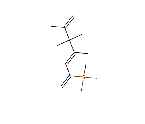 C=C(C)C(C)(C)/C(C)=C/C(=C)S(C)(C)C